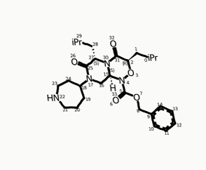 CC(C)C[C@H]1ON(C(=O)OCc2ccccc2)[C@H]2CN(C3CCCNCC3)C(=O)[C@H](CC(C)C)N2C1=O